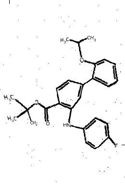 CC(C)Oc1ccccc1-c1ccc(C(=O)OC(C)(C)C)c(Nc2ccc(F)cc2)c1